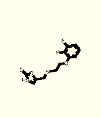 Fc1cccc(OCCSCc2c[nH]c(=S)o2)c1F